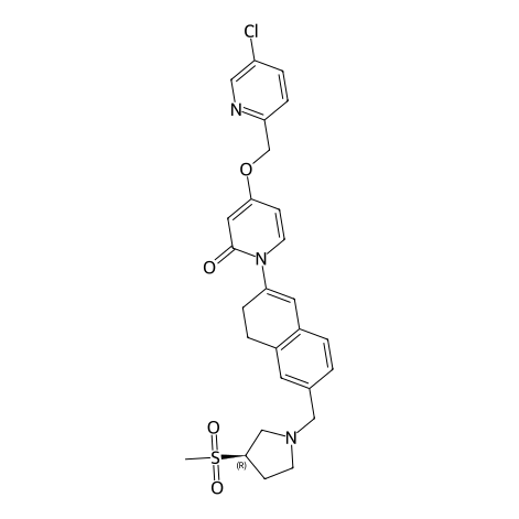 CS(=O)(=O)[C@@H]1CCN(Cc2ccc3c(c2)CCC(n2ccc(OCc4ccc(Cl)cn4)cc2=O)=C3)C1